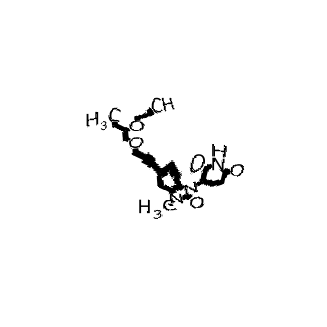 C#CCOC(CC)COCC#Cc1ccc2c(c1)n(C)c(=O)n2C1CCC(=O)NC1=O